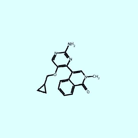 Cn1cc(-c2nc(N)ncc2OCC2CC2)c2ccccc2c1=O